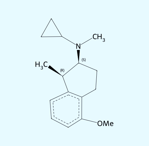 COc1cccc2c1CC[C@H](N(C)C1CC1)[C@@H]2C